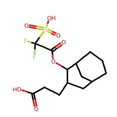 O=C(O)CCC1CC2CCCC(C2)C1OC(=O)C(F)(F)S(=O)(=O)O